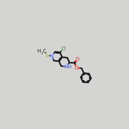 CSN1C=C(Cl)C2=C(CNC(C(=O)OCc3ccccc3)C2)C1